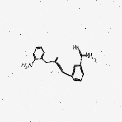 C/C(=C\c1cccc(C(=N)N)c1)Cc1ccccc1N